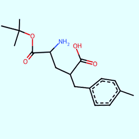 Cc1ccc(CC(CC(N)C(=O)OC(C)(C)C)C(=O)O)cc1